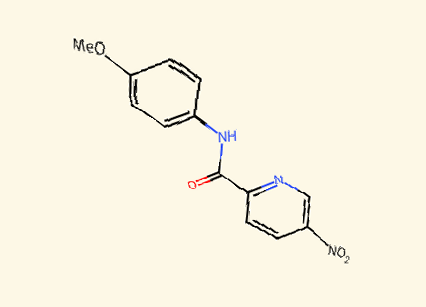 COc1ccc(NC(=O)c2ccc([N+](=O)[O-])cn2)cc1